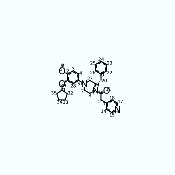 COc1ccc(N2CCN(C(=O)Cc3ccncc3)[C@@H](Cc3ccccc3)C2)cc1OC1CCCC1